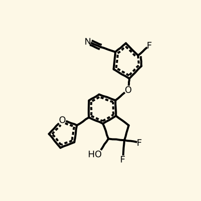 N#Cc1cc(F)cc(Oc2ccc(-c3ccco3)c3c2CC(F)(F)C3O)c1